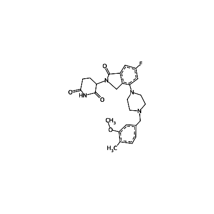 COc1cc(CN2CCN(c3cc(F)cc4c3CN(C3CCC(=O)NC3=O)C4=O)CC2)ccc1C